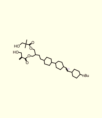 C=C(CO)C(=O)OCC(CCC1CCC(C2CCC(/C=C/C3CCC(CCCC)CC3)CC2)CC1)COC(=O)C(C)(C)CO